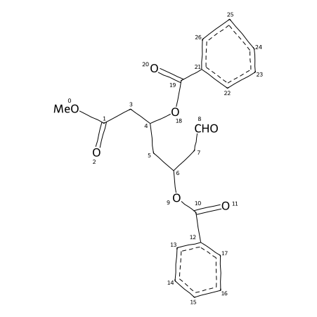 COC(=O)CC(CC(CC=O)OC(=O)c1ccccc1)OC(=O)c1ccccc1